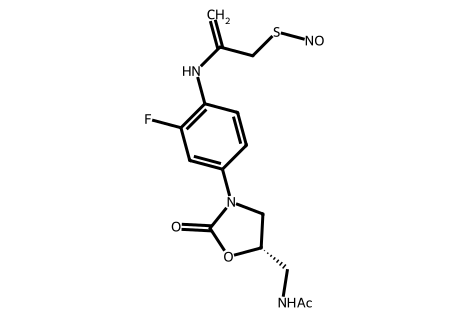 C=C(CSN=O)Nc1ccc(N2C[C@H](CNC(C)=O)OC2=O)cc1F